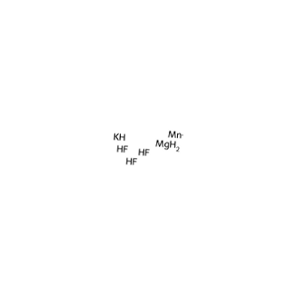 F.F.F.[KH].[MgH2].[Mn]